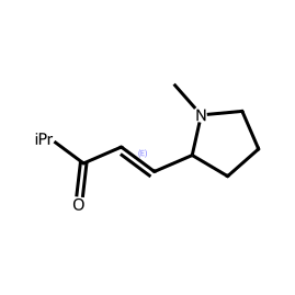 CC(C)C(=O)/C=C/C1CCCN1C